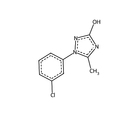 Cc1nc(O)nn1-c1cccc(Cl)c1